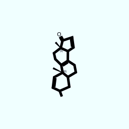 CC1C=C[C@]2(C)C3=C(CCC2C1)C1C=CC(=O)[C@@]1(C)CC3